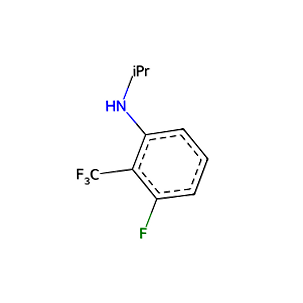 CC(C)Nc1cccc(F)c1C(F)(F)F